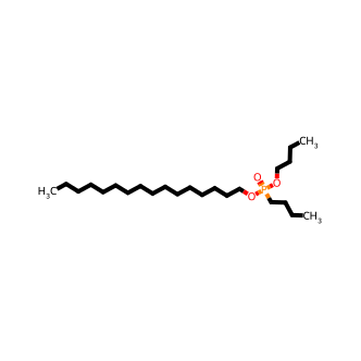 CCCCCCCCCCCCCCCCOP(=O)(CCCC)OCCCC